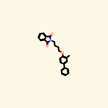 Cc1cc(-c2ccccc2)ccc1OCCCCN1C(=O)c2ccccc2C1=O